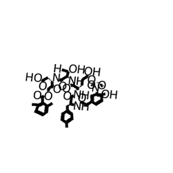 Cc1ccc(C[C@H](NC(=O)Cc2ccc(O)c([N+](=O)[O-])c2)C(=O)N[C@@H](CCC(=O)O)C(=O)N[C@H](C(=O)N[C@@H](CC(=O)O)C(=O)COC(=O)c2c(C)cccc2C)C(C)O)cc1